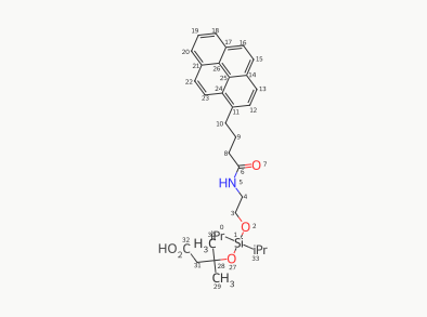 CC(C)[Si](OCCNC(=O)CCCc1ccc2ccc3cccc4ccc1c2c34)(OC(C)(C)CC(=O)O)C(C)C